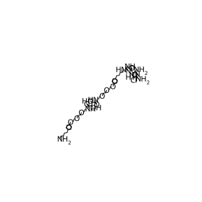 N=C(NCCCCc1ccc(OCCOCCOCCNC(=O)C(O)C(O)C(=O)NCCOCCOCCOc2ccc(CCCCN)cc2)cc1)NC(=O)c1nc(Cl)c(N)nc1N